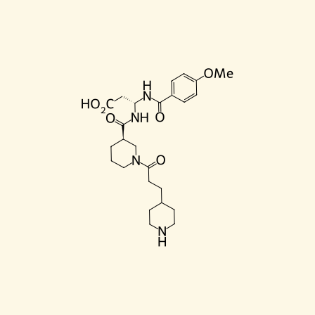 COc1ccc(C(=O)N[C@@H](CC(=O)O)NC(=O)[C@@H]2CCCN(C(=O)CCC3CCNCC3)C2)cc1